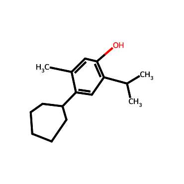 Cc1cc(O)c(C(C)C)cc1C1CCCCC1